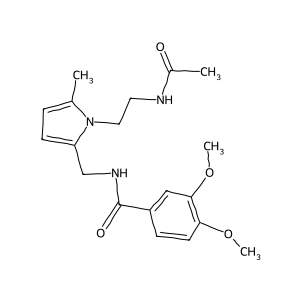 COc1ccc(C(=O)NCc2ccc(C)n2CCNC(C)=O)cc1OC